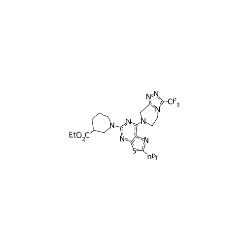 CCCc1nc2c(N3CCn4c(nnc4C(F)(F)F)C3)nc(N3CCCC(C(=O)OCC)C3)nc2s1